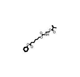 C=C(C)C(=O)OCCNC(=O)OCCCCCC(=O)Oc1ccccc1